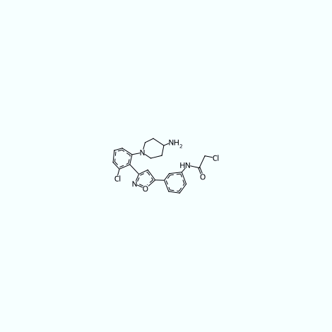 NC1CCN(c2cccc(Cl)c2-c2cc(-c3cccc(NC(=O)CCl)c3)on2)CC1